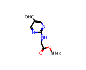 CCCCCCOC(=O)CNc1ncc(C=O)cn1